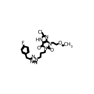 CCOCCn1c(=O)n(CCCn2nnc(Cc3ccc(F)cc3)n2)c(=O)c2[nH]c(Cl)nc21